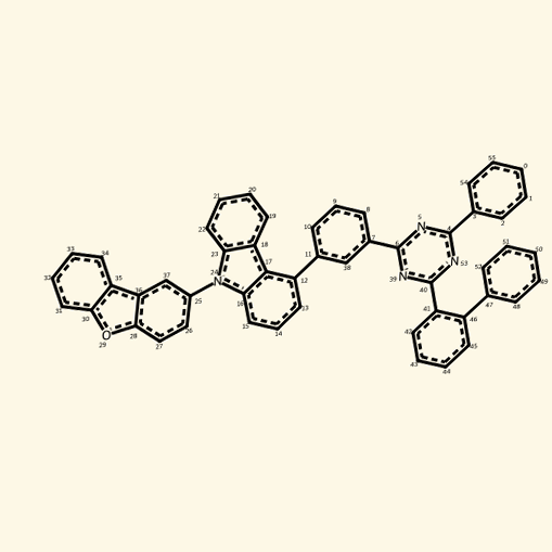 c1ccc(-c2nc(-c3cccc(-c4cccc5c4c4ccccc4n5-c4ccc5oc6ccccc6c5c4)c3)nc(-c3ccccc3-c3ccccc3)n2)cc1